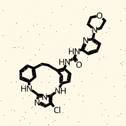 O=C(Nc1cccc(N2CCOCC2)n1)Nc1ccc2cc1CCc1cccc(c1)Nc1ncc(Cl)c(n1)N2